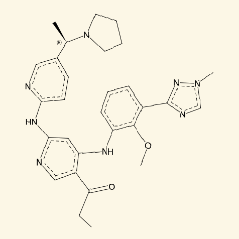 CCC(=O)c1cnc(Nc2ccc([C@@H](C)N3CCCC3)cn2)cc1Nc1cccc(-c2ncn(C)n2)c1OC